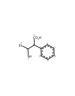 CCC(S)C(C(=O)O)c1ccccc1